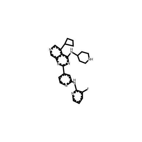 Fc1cccnc1Nc1cc(-c2nc(NC3CCNCC3)c3c(C4CCC4)cncc3n2)ccn1